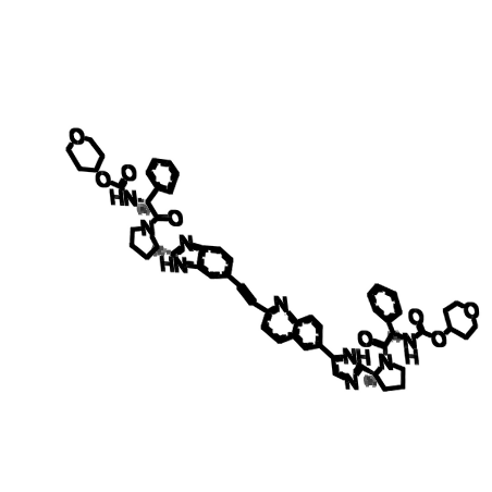 O=C(N[C@@H](C(=O)N1CCC[C@H]1c1ncc(-c2ccc3nc(C#Cc4ccc5nc([C@@H]6CCCN6C(=O)[C@H](NC(=O)OC6CCOCC6)c6ccccc6)[nH]c5c4)ccc3c2)[nH]1)c1ccccc1)OC1CCOCC1